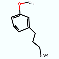 C[N]CCCc1cccc(OC(F)(F)F)c1